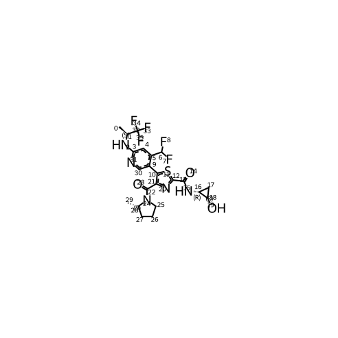 C[C@H](Nc1cc(C(F)F)c(-c2sc(C(=O)N[C@@H]3C[C@H]3O)nc2C(=O)N2CCC[C@@H]2C)cn1)C(F)(F)F